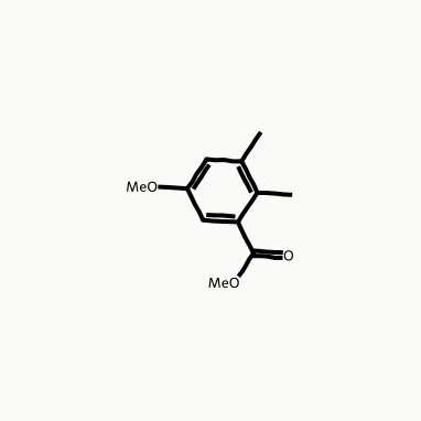 COC(=O)c1cc(OC)cc(C)c1C